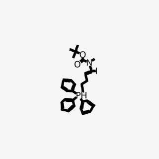 CN(C(=O)OC(C)(C)C)C(I)=CCCC[PH](c1ccccc1)(c1ccccc1)c1ccccc1